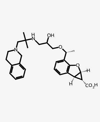 C[C@@H](OCC(O)CNC(C)(C)CN1CCc2ccccc2C1)c1cccc2c1O[C@H]1[C@H](C(=O)O)[C@@H]21